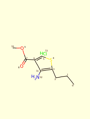 CCCc1scc(C(=O)OC)c1N.Cl